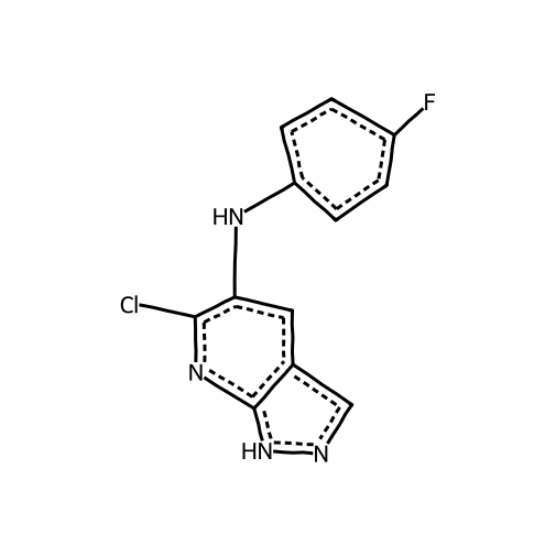 Fc1ccc(Nc2cc3cn[nH]c3nc2Cl)cc1